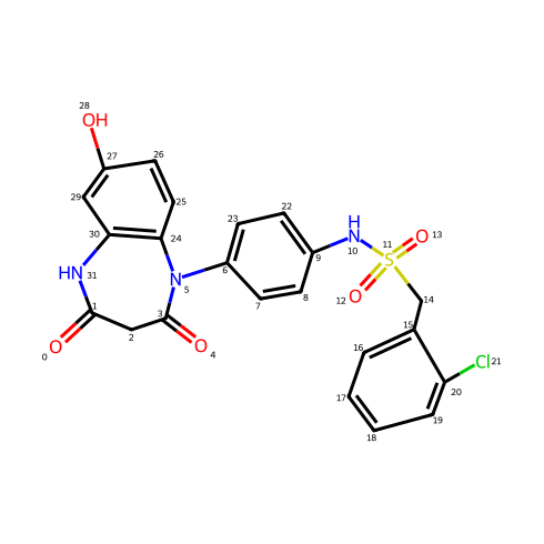 O=C1CC(=O)N(c2ccc(NS(=O)(=O)Cc3ccccc3Cl)cc2)c2ccc(O)cc2N1